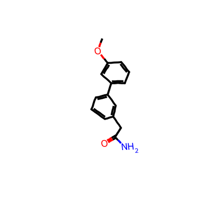 COc1cccc(-c2cccc(CC(N)=O)c2)c1